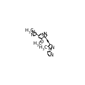 COc1cc(-c2cnn(C)c2)cn2ncc(C#Cc3cnn(-c4cccnc4)c3C)c12